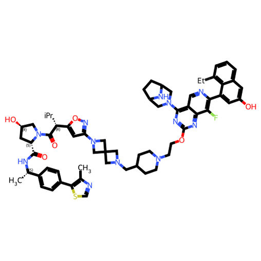 CCc1cccc2cc(O)cc(-c3ncc4c(N5CC6CCC(C5)N6)nc(OCCN5CCC(CN6CC7(C6)CN(c6cc([C@H](C(=O)N8C[C@H](O)C[C@H]8C(=O)N[C@@H](C)c8ccc(-c9scnc9C)cc8)C(C)C)on6)C7)CC5)nc4c3F)c12